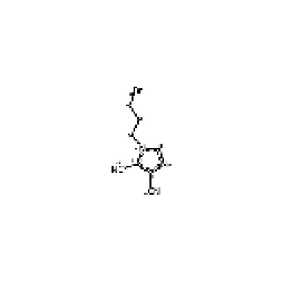 N#Cc1ncn(CCCBr)c1C#N